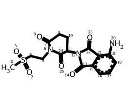 CS(=O)(=O)CCN1C(=O)CCC(N2C(=O)c3cccc(N)c3C2=O)C1=O